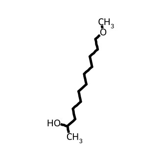 COCCCCCCCCCCC(C)O